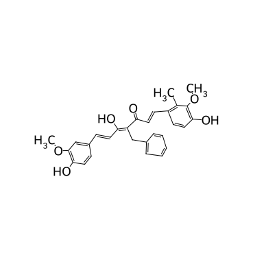 COc1cc(/C=C/C(O)=C(\Cc2ccccc2)C(=O)/C=C/c2ccc(O)c(OC)c2C)ccc1O